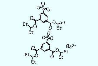 CCC(CC)OC(=O)c1cc(C(=O)OC(CC)CC)cc(S(=O)(=O)[O-])c1.CCC(CC)OC(=O)c1cc(C(=O)OC(CC)CC)cc(S(=O)(=O)[O-])c1.[Ba+2]